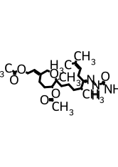 CC(=O)OC/C=C1\CC[C@@H](OC(C)=O)[C@](C)(CCCC(C)/C(CC=C(C)C)=N\NC(N)=O)OC1